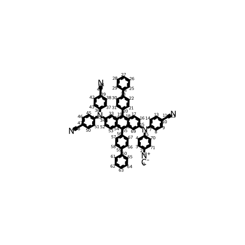 [C-]#[N+]c1ccc(N(c2ccc(C#N)cc2)c2ccc3c(-c4ccc(-c5ccccc5)cc4)c4cc(N(c5ccc(C#N)cc5)c5ccc(C#N)cc5)ccc4c(-c4ccc(-c5ccccc5)cc4)c3c2)cc1